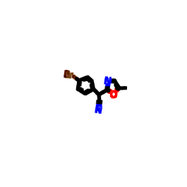 Cc1cnc(C(C#N)c2ccc(Br)cc2)o1